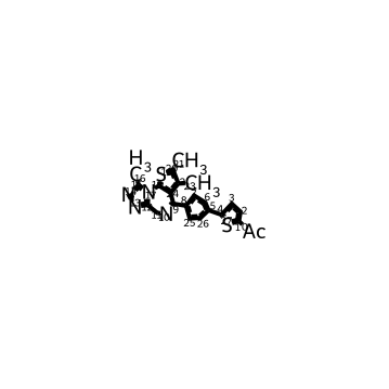 CC(=O)c1ccc(-c2ccc(C3=NCc4nnc(C)n4-c4sc(C)c(C)c43)cc2)s1